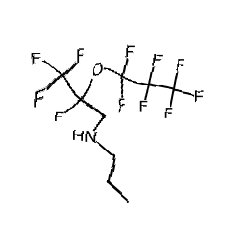 CCCNCC(F)(OC(F)(F)C(F)(F)C(F)(F)F)C(F)(F)F